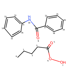 CCCCC(=O)OO.O=C(Nc1ccccc1)c1ccccc1